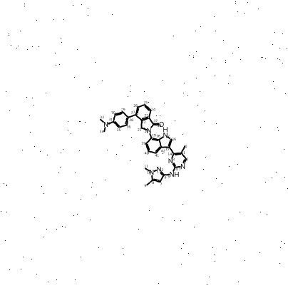 Cc1cnc(Nc2cc(C)n(C)n2)nc1-c1c[nH]c2c(N3Cc4c(cccc4-c4ccc(N(C)C)cc4)C3=O)cccc12